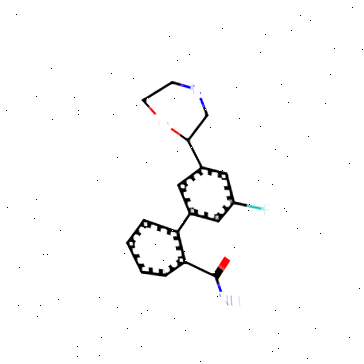 NC(=O)c1ccccc1-c1cc(F)cc(C2CNCCO2)c1